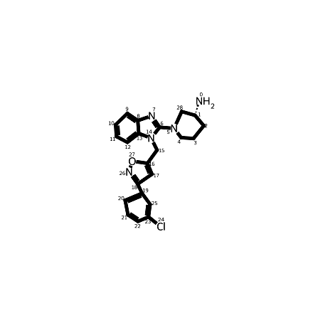 N[C@@H]1CCCN(c2nc3ccccc3n2Cc2cc(-c3cccc(Cl)c3)no2)C1